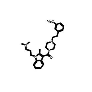 COc1cccc(CCN2CCN(C(=O)c3c(C)n(CCCN(C)C)c4ccccc34)CC2)c1